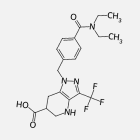 CCN(CC)C(=O)c1ccc(Cn2nc(C(F)(F)F)c3c2CC(C(=O)O)CN3)cc1